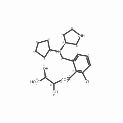 Clc1cccc(CN(C2CCCC2)[C@H]2CCNC2)c1Cl.O=C(O)C(O)C(O)C(=O)O